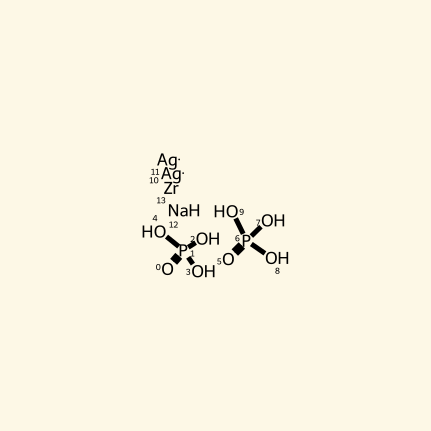 O=P(O)(O)O.O=P(O)(O)O.[Ag].[Ag].[NaH].[Zr]